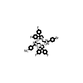 N#Cc1ccc(-c2noc(CN3CCC(c4ccc(F)cc4)(c4ccc(F)cc4)C3=O)n2)cc1.O=C1N(Cc2nc(-c3ccc(Br)cc3)no2)CCC1(c1ccc(F)cc1)c1ccc(F)cc1